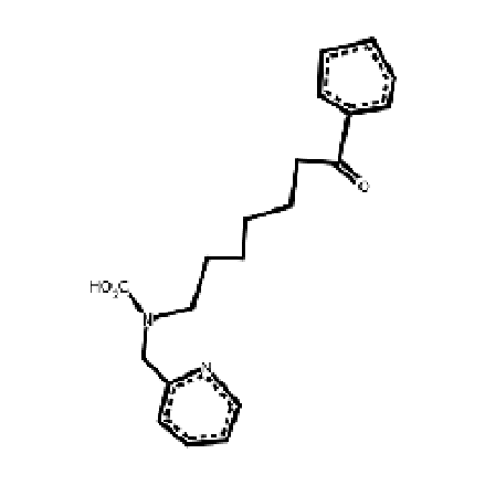 O=C(CCCCCCN(Cc1ccccn1)C(=O)O)c1ccccc1